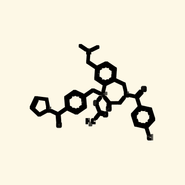 CN(C)Cc1ccc2c(c1)[N+](Cc1ccc(C(=O)N3CC=CC3)cc1)(OC(=O)C(F)(F)F)C(=O)CN(C(=O)c1ccc(Cl)cc1)C2